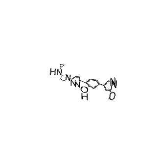 COc1cc(-c2ccc(-c3ccc(N4CCC(NC5CC5)C4)nn3)c(O)c2)cnn1